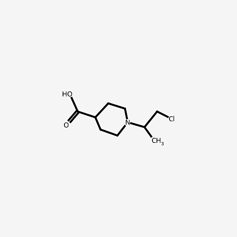 CC(CCl)N1CCC(C(=O)O)CC1